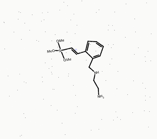 CO[Si](/C=C/c1ccccc1CNCCN)(OC)OC